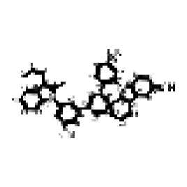 C/C=C\c1c(C)n(-c2cc(C#N)cc(-c3cccc(-c4ccc(C#N)cc4-n4c5c(c6c4CCC=C6)CC(C#N)C=C5)c3)c2)c2ccccc12